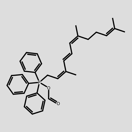 CC(C)=CCCC(C)=CC=CC(C)=CCP(OC=O)(c1ccccc1)(c1ccccc1)c1ccccc1